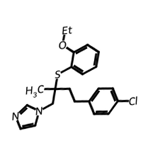 CCOc1ccccc1SC(C)(CCc1ccc(Cl)cc1)Cn1ccnc1